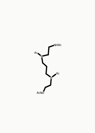 CC(=O)NCCN(CCCN(CCNC(C)=O)C(C)=O)C(C)=O